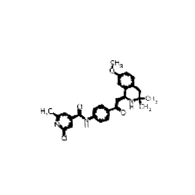 COc1ccc2c(c1)/C(=C/C(=O)c1ccc(NC(=O)c3cc(C)nc(Cl)c3)cc1)NC(C)(C)C2